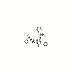 CCC(=O)OC(OC(=O)CNC(=O)C(CSSCC(N)CCSC)Cc1ccccc1)c1ccccc1